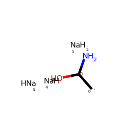 [CH2]C(N)O.[NaH].[NaH].[NaH]